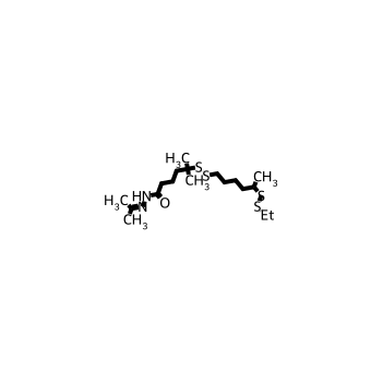 CCSSC(C)CCCCSSC(C)(C)CCCC(=O)NN=C(C)C